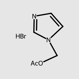 Br.CC(=O)OCn1ccnc1